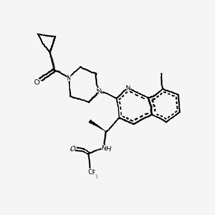 Cc1cccc2cc([C@H](C)NC(=O)C(F)(F)F)c(N3CCN(C(=O)C4CC4)CC3)nc12